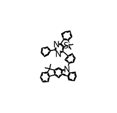 CC1(C)c2ccccc2-c2cc3c4ccccc4n(-c4cccc(-c5nc(-c6ccccc6)nc6c5[Si](C)(C)c5ccccc5-6)c4)c3cc21